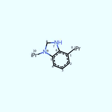 CC(C)c1cccc2c1NCN2C(C)C